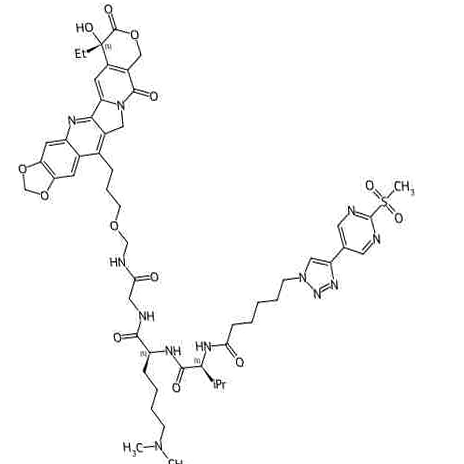 CC[C@@]1(O)C(=O)OCc2c1cc1n(c2=O)Cc2c-1nc1cc3c(cc1c2CCCOCNC(=O)CNC(=O)[C@H](CCCCN(C)C)NC(=O)[C@@H](NC(=O)CCCCCn1cc(-c2cnc(S(C)(=O)=O)nc2)nn1)C(C)C)OCO3